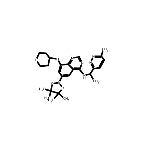 Cc1ccc(C(C)Nc2ncnc3c(OC4CCOCC4)cc(B4OC(C)(C)C(C)(C)O4)cc23)nn1